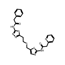 O=C(Cc1ccccn1)Nc1ncc(CSCCc2nnc(NC(=O)Cc3ccccc3)s2)s1